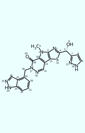 Cn1c2nc([C@H](O)c3cc[nH]n3)sc2c2cnn(Cc3cccc4[nH]ncc34)c(=O)c21